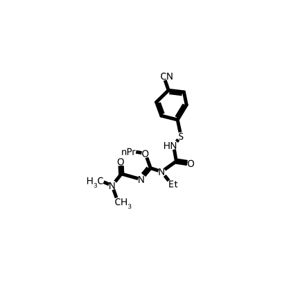 CCCOC(=NC(=O)N(C)C)N(CC)C(=O)NSc1ccc(C#N)cc1